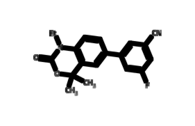 CCN1C(=O)OC(C)(C)c2cc(-c3cc(F)cc(C#N)c3)ccc21